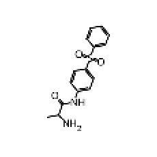 CC(N)C(=O)Nc1ccc(S(=O)(=O)c2ccccc2)cc1